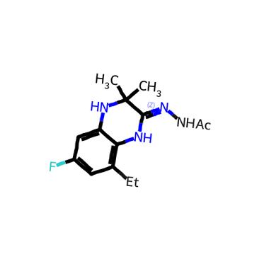 CCc1cc(F)cc2c1N/C(=N\NC(C)=O)C(C)(C)N2